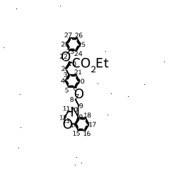 CCOC(=O)/C(=C\c1ccc(OCCN2CCOc3ccccc32)cc1)Oc1ccccc1